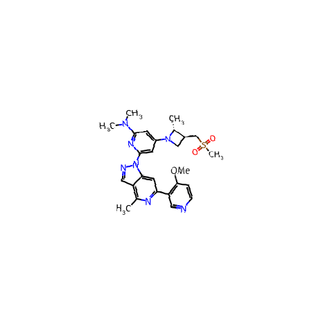 COc1ccncc1-c1cc2c(cnn2-c2cc(N3C[C@H](CS(C)(=O)=O)[C@H]3C)cc(N(C)C)n2)c(C)n1